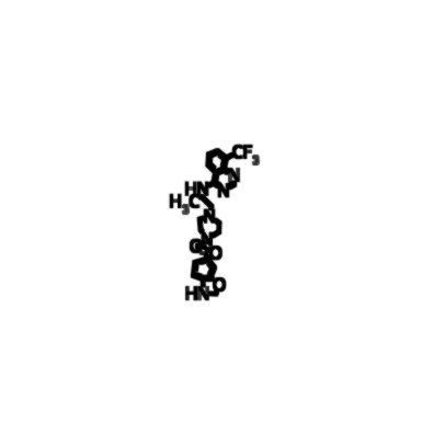 C[C@@H](CN1CCN(S(=O)(=O)c2ccc3c(c2)OCN3)CC1)Nc1ncnc2c(C(F)(F)F)cccc12